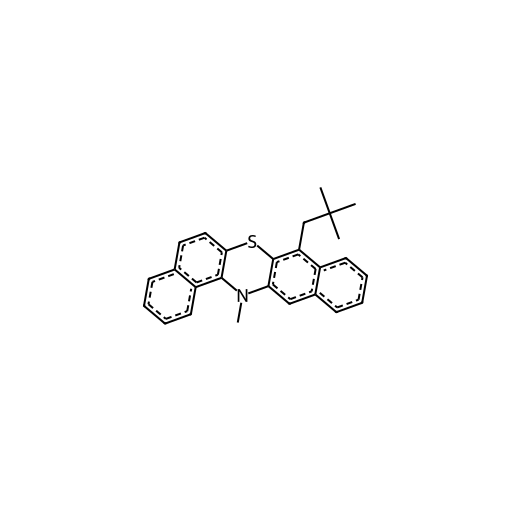 CN1c2cc3ccccc3c(CC(C)(C)C)c2Sc2ccc3ccccc3c21